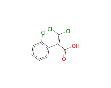 O=C(O)C(=C(Cl)Cl)c1ccccc1Cl